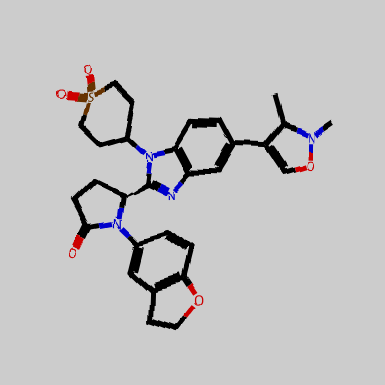 CC1C(c2ccc3c(c2)nc([C@@H]2CCC(=O)N2c2ccc4c(c2)CCO4)n3C2CCS(=O)(=O)CC2)=CON1C